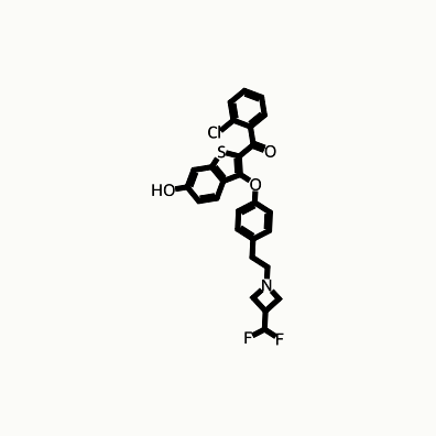 O=C(c1ccccc1Cl)c1sc2cc(O)ccc2c1Oc1ccc(CCN2CC(C(F)F)C2)cc1